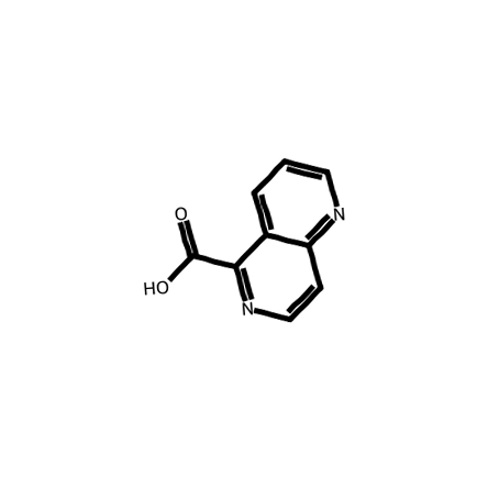 O=C(O)c1nccc2ncccc12